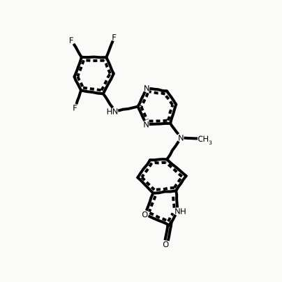 CN(c1ccc2oc(=O)[nH]c2c1)c1ccnc(Nc2cc(F)c(F)cc2F)n1